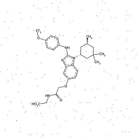 C[C@@H]1C[C@@H](n2c(Nc3ccc(OC(F)(F)F)cc3)nc3cc(OCC(=O)NCC(=O)O)ccc32)CC(C)(C)C1